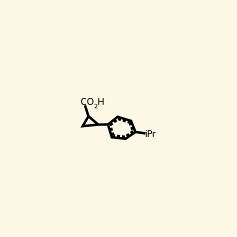 CC(C)c1ccc(C2CC2C(=O)O)cc1